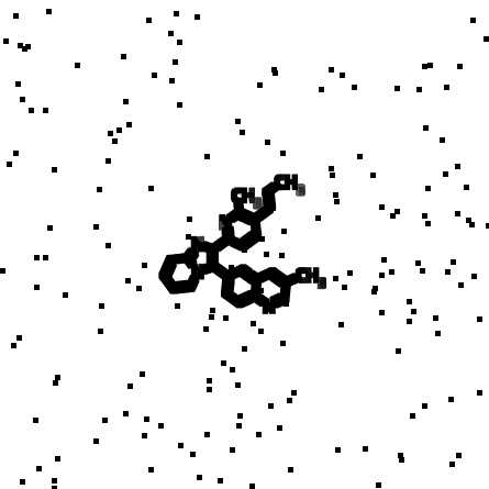 C/C=C/c1ccc(-c2nc3ccccn3c2-c2ccc3ncc(C)cc3c2)nc1C